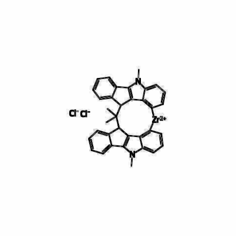 Cn1c2c3c4[c](cccc41)[Zr+2][c]1cccc4c1c1c(n4C)-c4ccccc4C1C(C)(C)C3c1ccccc1-2.[Cl-].[Cl-]